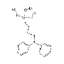 CCO[Si](CCCCP(c1ccccc1)c1ccccc1)(OCC)OCC